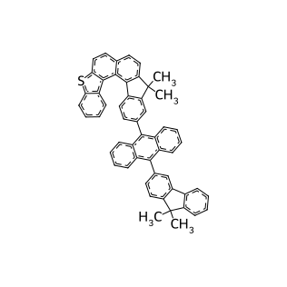 CC1(C)c2ccccc2-c2cc(-c3c4ccccc4c(-c4ccc5c(c4)C(C)(C)c4ccc6ccc7sc8ccccc8c7c6c4-5)c4ccccc34)ccc21